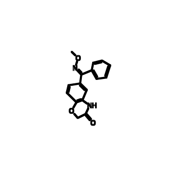 CON=C(c1ccccc1)c1ccc2c(c1)NC(=O)CO2